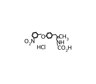 C[C@@H](CNCC(=O)O)Cc1ccc(OCc2cccc([N+](=O)[O-])c2)cc1.Cl